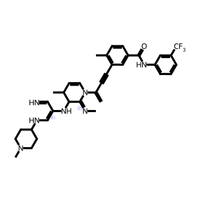 C=C(C#Cc1cc(C(=O)Nc2cccc(C(F)(F)F)c2)ccc1C)N1C=CC(C)C(N/C(C=N)=C/NC2CCN(C)CC2)/C1=N/C